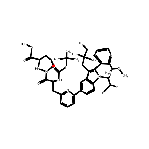 COC(=O)C1CCCN(C(=O)C(Cc2cccc(-c3ccc4c(c3)c(CC(C)(C)CO)c(-c3cccnc3[C@H](C)OC)n4C(F)C(F)F)n2)NC(=O)OC(C)(C)C)N1